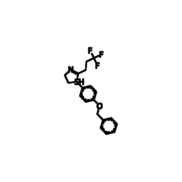 FC(F)(F)CCC1=NCC[SH]1c1ccc(OCc2ccccc2)cc1